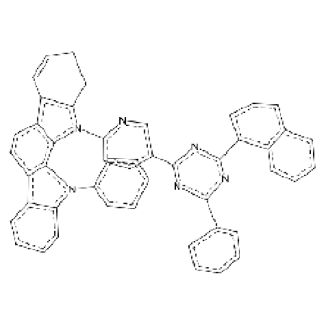 C1=Cc2c(n(-c3ccc(-c4nc(-c5ccccc5)nc(-c5cccc6ccccc56)n4)cn3)c3c2ccc2c4ccccc4n(-c4ccccc4)c23)CC1